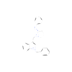 c1ccc(Cn2cc(CN3CCCC3=Nc3ccccc3)c3ccccc32)cc1